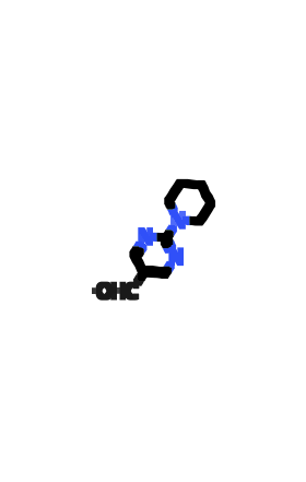 O=[C]c1cnc(N2CCCCC2)nc1